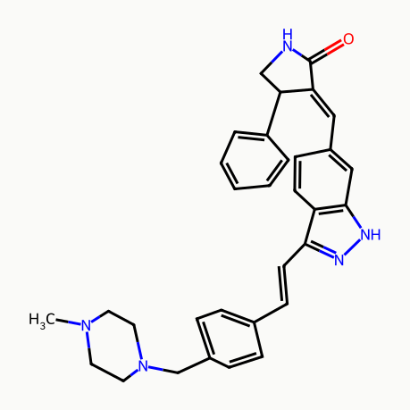 CN1CCN(Cc2ccc(/C=C/c3n[nH]c4cc(/C=C5/C(=O)NCC5c5ccccc5)ccc34)cc2)CC1